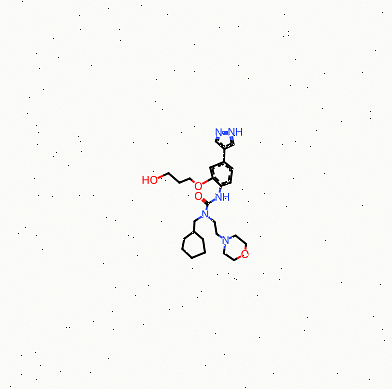 O=C(Nc1ccc(-c2cn[nH]c2)cc1OCCCO)N(CCN1CCOCC1)CC1CCCCC1